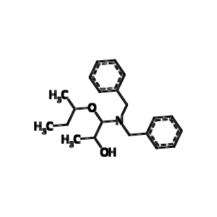 CCC(C)OC(C(C)O)N(Cc1ccccc1)Cc1ccccc1